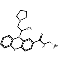 CC[C@@H](C)CNC(=S)c1ccc2c(c1)N(C(C)CN1CCCC1)c1ccccc1S2